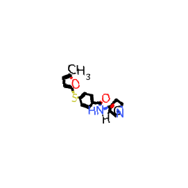 Cc1ccc(Sc2ccc(C(=O)N[C@H]3CN4CCC3CC4)cc2)o1